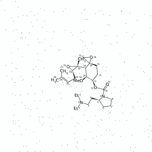 CCN(CC)CC[C@@H]1CCCN1C(=O)O[C@@H]1CC[C@]2(CO2)C([C@@]2(C)O[C@@H]2CC=C(C)C)[C@@H]1OC